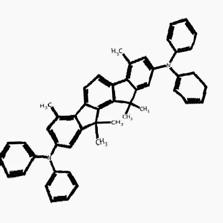 Cc1cc(N(C2=CC=CCC2)c2ccccc2)cc2c1-c1ccc3c(c1C2(C)C)C(C)(C)c1cc(N(c2ccccc2)c2ccccc2)cc(C)c1-3